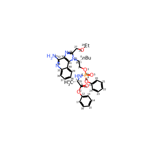 CCCC[C@H](CO[P@@](=O)(N[C@@H](C)C(=O)Oc1ccccc1)Oc1ccccc1)n1c(COCC)nc2c(N)nc3ccccc3c21